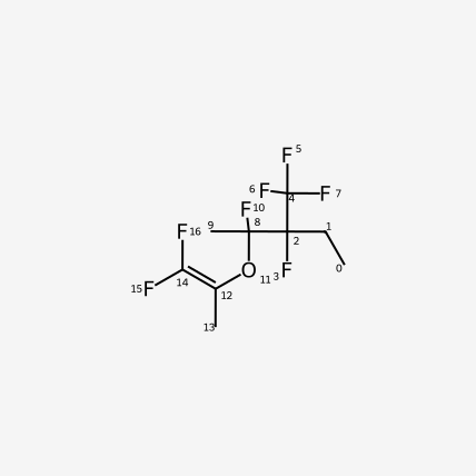 CCC(F)(C(F)(F)F)C(C)(F)OC(C)=C(F)F